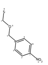 O=[N+]([O-])c1ccc(COC[S])cc1